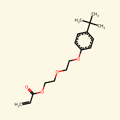 C=CC(=O)OCCOCCOc1ccc(C(C)(C)C)cc1